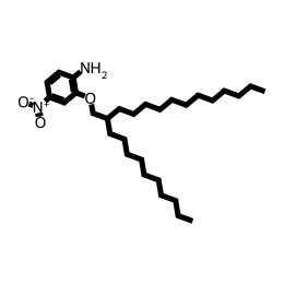 CCCCCCCCCCCCC(CCCCCCCCCC)COc1cc([N+](=O)[O-])ccc1N